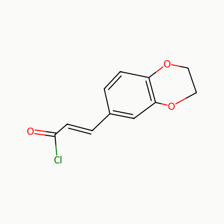 O=C(Cl)C=Cc1ccc2c(c1)OCCO2